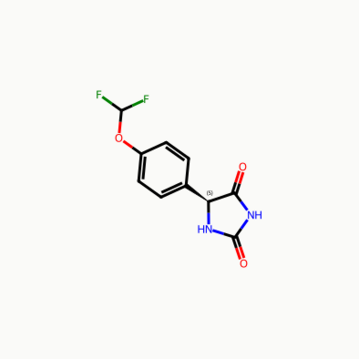 O=C1NC(=O)[C@H](c2ccc(OC(F)F)cc2)N1